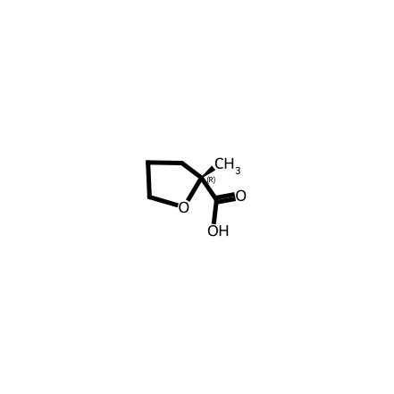 C[C@]1(C(=O)O)CCCO1